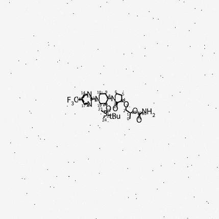 CC(CO[C@@H]1CCN([C@@H]2CCN(c3ncc(C(F)(F)F)cn3)C[C@H]2O[Si](C)(C)C(C)(C)C)C1=O)OC(N)=O